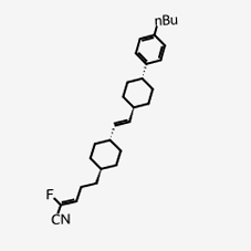 CCCCc1ccc([C@H]2CC[C@H](C=C[C@H]3CC[C@H](CCC=C(F)C#N)CC3)CC2)cc1